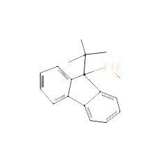 CPC1(C(C)(C)C)c2ccccc2-c2ccccc21